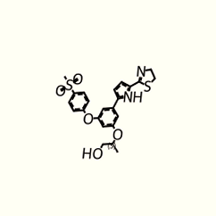 C[C@@H](CO)Oc1cc(Oc2ccc(S(C)(=O)=O)cc2)cc(-c2ccc(C3=NCCS3)[nH]2)c1